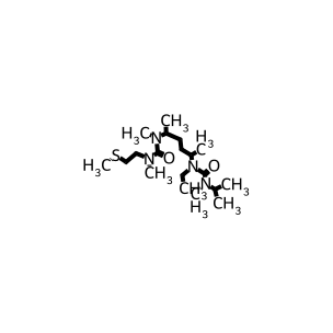 CCN(C(=O)N(C)C(C)C)C(C)CCC(C)N(C)C(=O)N(C)CCSC